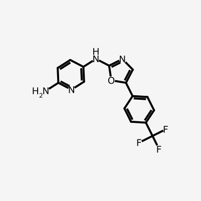 Nc1ccc(Nc2ncc(-c3ccc(C(F)(F)F)cc3)o2)cn1